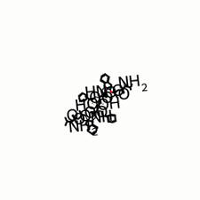 CC(OC(=O)[C@@H](N)C(C)C)O[C@@H]1Cc2ccccc2[C@@H]1NC(=O)[C@H](OCc1ccccc1)[C@H](O)[C@@H](O)[C@@H](OCc1ccccc1)C(=O)N[C@H]1c2ccccc2C[C@H]1OC(C)OC(=O)[C@@H](N)C(C)C